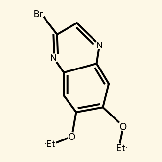 [CH2][CH]Oc1cc2ncc(Br)nc2cc1O[CH][CH2]